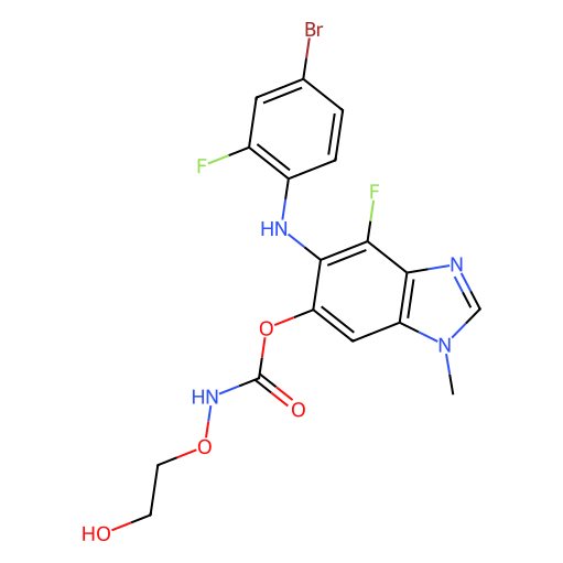 Cn1cnc2c(F)c(Nc3ccc(Br)cc3F)c(OC(=O)NOCCO)cc21